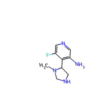 CN1CNCC1c1c(N)cncc1F